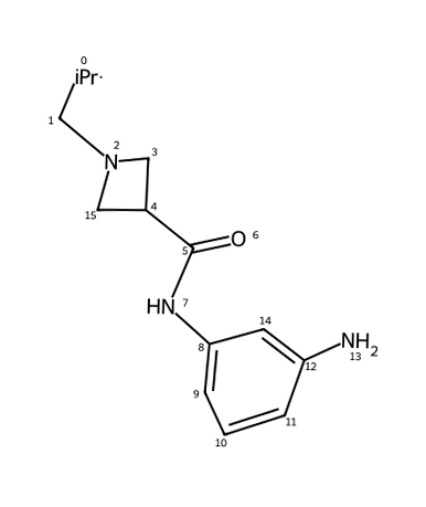 C[C](C)CN1CC(C(=O)Nc2cccc(N)c2)C1